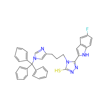 Fc1ccc2[nH]c(-c3nnc(S)n3CCCc3cn(C(c4ccccc4)(c4ccccc4)c4ccccc4)cn3)cc2c1